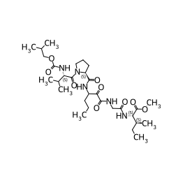 CCCC(NC(=O)[C@@H]1CCCN1C(=O)[C@@H](NC(=O)OCC(C)C)C(C)C)C(=O)C(=O)NCC(=O)N[C@H](C(=O)OC)[C@@H](C)CC